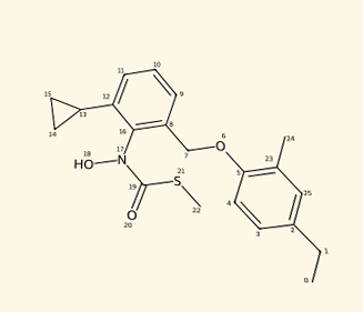 CCc1ccc(OCc2cccc(C3CC3)c2N(O)C(=O)SC)c(C)c1